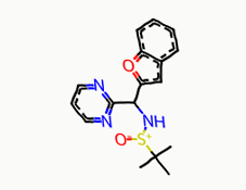 CC(C)(C)[S+]([O-])NC(c1ncccn1)c1cc2ccccc2o1